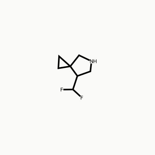 FC(F)C1CNCC12CC2